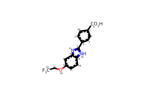 O=C(O)c1ccc(-c2nc3cc(OCC(F)(F)F)ccc3[nH]2)cc1